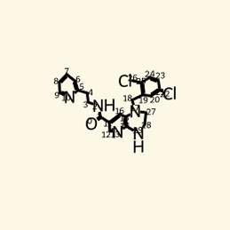 O=C(NCCc1ccccn1)c1cnc2c(c1)N(Cc1cc(Cl)ccc1Cl)CCN2